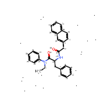 CCN(C(=O)C(Cc1ccccc1)NC(=O)Cc1ccc2ccccc2c1)c1ccccc1